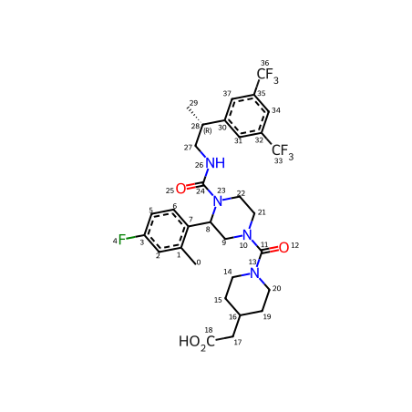 Cc1cc(F)ccc1C1CN(C(=O)N2CCC(CC(=O)O)CC2)CCN1C(=O)NC[C@H](C)c1cc(C(F)(F)F)cc(C(F)(F)F)c1